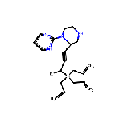 C=CC[Si](CC=C)(CC=C)C(C#CC1CNCCN1c1ncccn1)CC